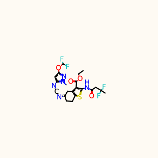 CCOC(=O)c1c(NC(=O)CC(C)(F)F)sc2c1C[C@@H](N=C=Nc1cc(OC(F)F)nn1C)CC2